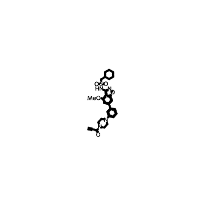 C#CC(=O)N1CCN(c2cccc(-c3cc(OC)c4c(NS(=O)(=O)CC5CCCCC5)noc4c3)c2)CC1